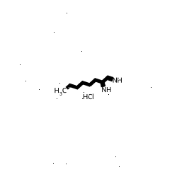 CCCCCCC(=N)C=N.Cl